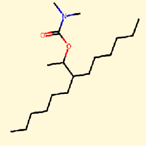 CCCCCCC(CCCCCC)C(C)OC(=O)N(C)C